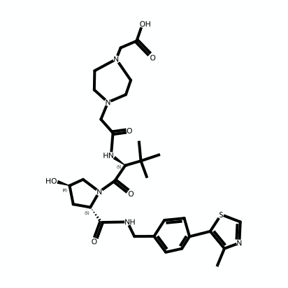 Cc1ncsc1-c1ccc(CNC(=O)[C@@H]2C[C@@H](O)CN2C(=O)[C@@H](NC(=O)CN2CCN(CC(=O)O)CC2)C(C)(C)C)cc1